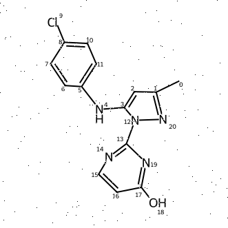 Cc1cc(Nc2ccc(Cl)cc2)n(-c2nccc(O)n2)n1